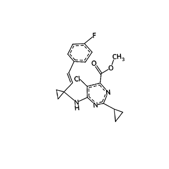 COC(=O)c1nc(C2CC2)nc(NC2(C=Cc3ccc(F)cc3)CC2)c1Cl